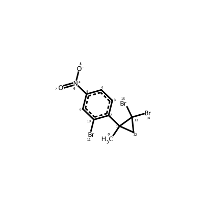 CC1(c2ccc([N+](=O)[O-])cc2Br)CC1(Br)Br